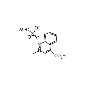 COS(=O)(=O)[O-].C[n+]1cc(C(=O)O)c2ccccc2n1